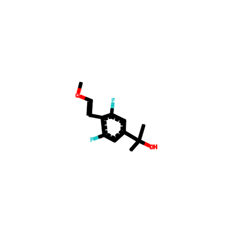 COC=Cc1c(F)cc(C(C)(C)O)cc1F